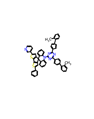 Cc1ccccc1-c1ccc(-c2nc(-c3ccc(-c4ccccc4C)cc3)nc(N3c4ccccc4C4(c5ccccc53)c3cc(-c5ccccc5)sc3-c3sc(-c5cccnc5)cc34)n2)cc1